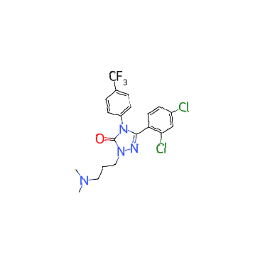 CN(C)CCCn1nc(-c2ccc(Cl)cc2Cl)n(-c2ccc(C(F)(F)F)cc2)c1=O